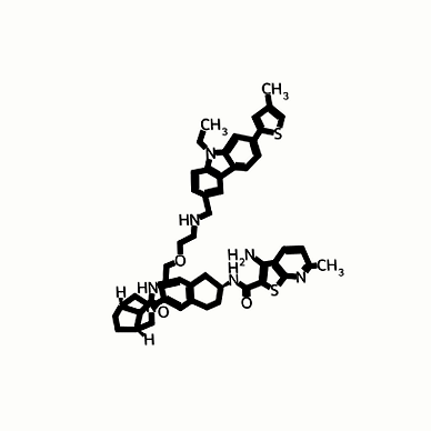 CCn1c2ccc(CNCCOCCNC(=O)C3[C@@H]4CC[C@H]3CN(c3ccc5c(c3)CC[C@H](NC(=O)c3sc6nc(C)ccc6c3N)C5)C4)cc2c2ccc(-c3cc(C)cs3)cc21